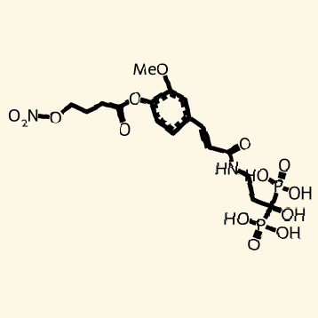 COc1cc(/C=C/C(=O)NCCC(O)(P(=O)(O)O)P(=O)(O)O)ccc1OC(=O)CCCO[N+](=O)[O-]